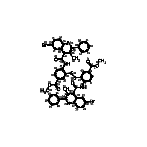 COC(=O)c1ccc(NC(=O)c2c(C)c(-c3ccccc3)nc3ccc(Br)cc23)c(SSc2cc(C(=O)OC)ccc2NC(=O)c2c(C)c(-c3ccccc3)nc3ccc(Br)cc23)c1